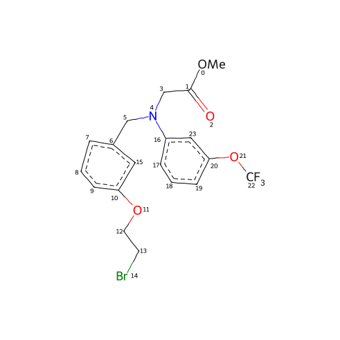 COC(=O)CN(Cc1cccc(OCCBr)c1)c1cccc(OC(F)(F)F)c1